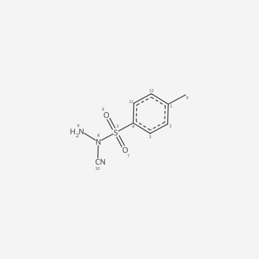 Cc1ccc(S(=O)(=O)N(N)C#N)cc1